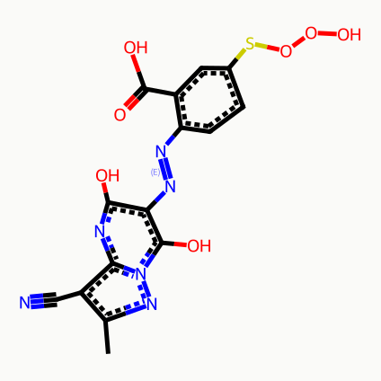 Cc1nn2c(O)c(/N=N/c3ccc(SOOO)cc3C(=O)O)c(O)nc2c1C#N